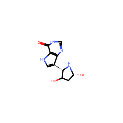 O=c1[nH]cnc2c([C@@H]3N[C@H](O)CC3O)c[nH]c12